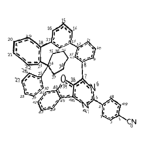 N#Cc1ccc(-c2nc(-c3cccc(-c4cccc(-c5ccccc5C5(c6ccccc6)CCCCC5)c4)c3)c3oc4ccccc4c3n2)cc1